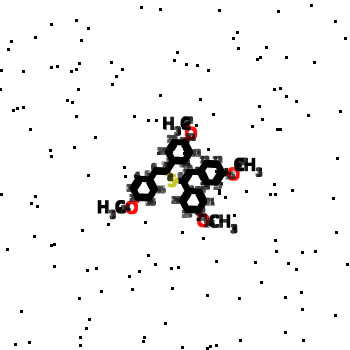 COc1ccc(C=C(SC(=Cc2ccc(OC)cc2)c2ccc(OC)cc2)c2ccc(OC)cc2)cc1